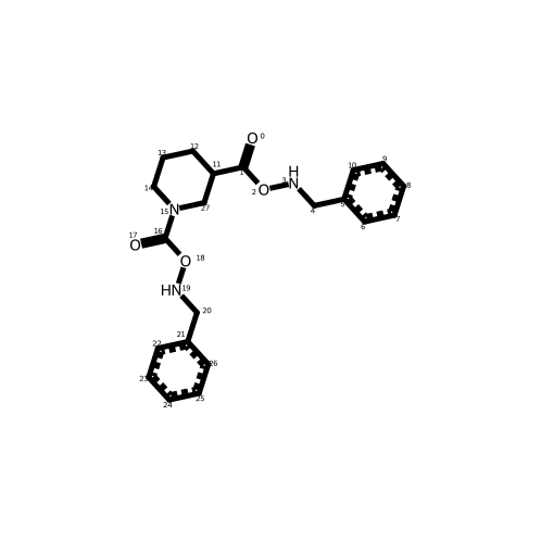 O=C(ONCc1ccccc1)C1CCCN(C(=O)ONCc2ccccc2)C1